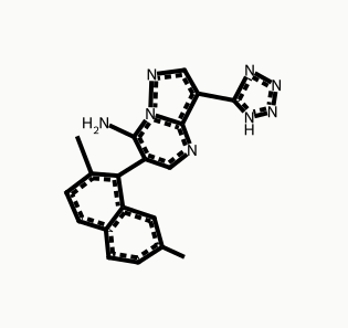 Cc1ccc2ccc(C)c(-c3cnc4c(-c5nnn[nH]5)cnn4c3N)c2c1